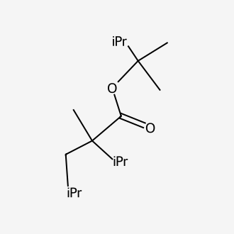 CC(C)CC(C)(C(=O)OC(C)(C)C(C)C)C(C)C